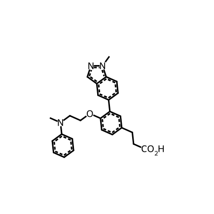 CN(CCOc1ccc(CCC(=O)O)cc1-c1ccc2c(cnn2C)c1)c1ccccc1